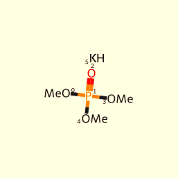 COP(=O)(OC)OC.[KH]